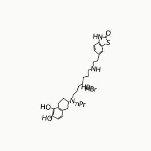 Br.Br.CCCN(CCCCCCCNCCc1ccc2[nH]c(=O)sc2c1)[C@H]1CCc2c(ccc(O)c2O)C1